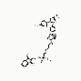 Cc1ccc(-c2cc(C(F)(F)F)nn2-c2ccc(S(=O)(=O)NC(=O)OCCCCCN(C)[N+]([O-])=NOCN3C(=O)c4ccccc4C3=O)cc2)cc1